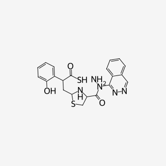 NN(C(=O)C1CSC(CC(C(=O)S)c2ccccc2O)N1)c1nncc2ccccc12